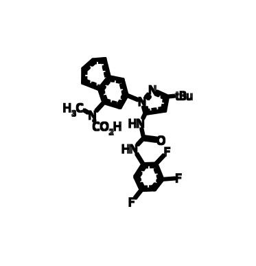 CN(C(=O)O)c1cc(-n2nc(C(C)(C)C)cc2NC(=O)Nc2cc(F)cc(F)c2F)cc2ccccc12